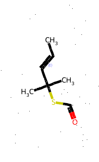 C/C=C/C(C)(C)S[C]=O